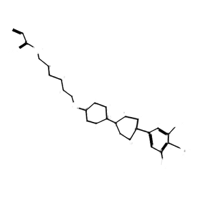 C=CC(=O)OCCCCCCOC1CCC(C2CCC(c3cc(F)c(CCC)c(F)c3)CC2)CC1